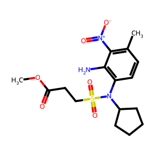 COC(=O)CCS(=O)(=O)N(c1ccc(C)c([N+](=O)[O-])c1N)C1CCCC1